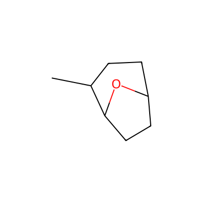 CC1CCC2CCC1O2